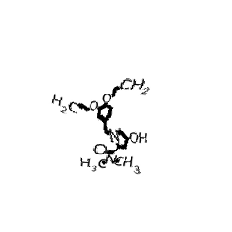 C=CCOc1ccc(CN2C[C@H](O)C[C@H]2C(=O)N(C)C)cc1OCC=C